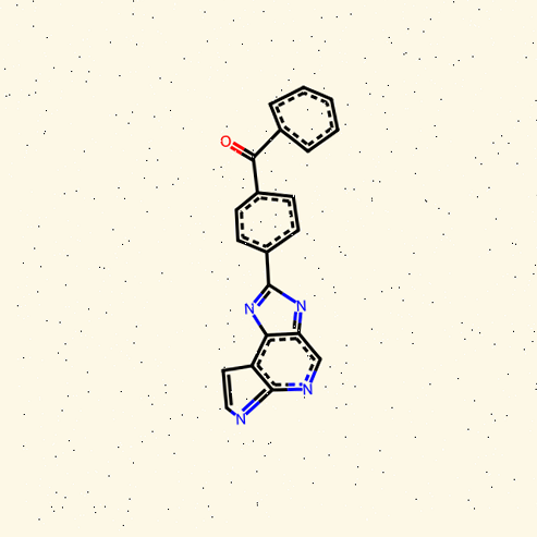 O=C(c1ccccc1)c1ccc(C2=Nc3c4c(ncc3=N2)=NC=C4)cc1